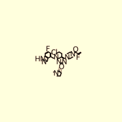 C=C(F)C(=O)N1CCN(c2nc(OC[C@@H]3CCCN3C)nc3c2CCCN3Cc2c(Cl)c(F)cc3[nH]ncc23)CC1